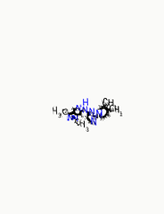 Cc1nn(C)c2cc(Nc3ccnc(N4CCC(C)C(C)C4)n3)ncc12